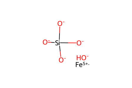 [Fe+5].[O-][Si]([O-])([O-])[O-].[OH-]